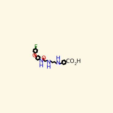 O=C(CCNCCCCNCc1ccc(C(=O)O)cc1)Nc1ccc(Oc2ccc(F)cc2)cc1